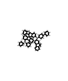 CC1(C)c2ccccc2-c2ccc(N(c3ccc(-c4ccccc4)cc3)c3ccc4c(c3)C3(c5ccccc5-c5c(N(c6ccccc6)c6ccccc6)cccc53)c3c-4sc4ccccc34)cc21